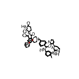 Cc1ccc(NC(=O)c2ccc(CN3CCC(CN4CC5CC(C4)N5c4ccc5c(c4)C(=O)N(C4CCC(=O)NC4=O)C5=O)CC3)cc2)cc1Nc1nccc(-c2cccnc2)n1